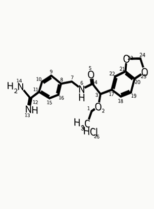 CCOC(C(=O)NCc1ccc(C(=N)N)cc1)c1ccc2c(c1)OCO2.Cl